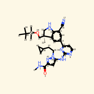 CNC(=O)c1cc(Nc2nccc(-c3cc(C#N)c4c(c3)[C@@](C)(CO[Si](C)(C)C(C)(C)C)CN4)n2)n(CCC2CC2)n1